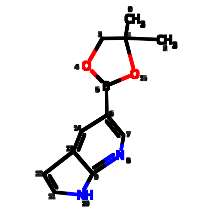 CC1(C)COB(c2cnc3[nH]ccc3c2)O1